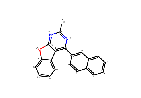 CC(C)c1nc(-c2ccc3ccccc3c2)c2c(n1)oc1ccccc12